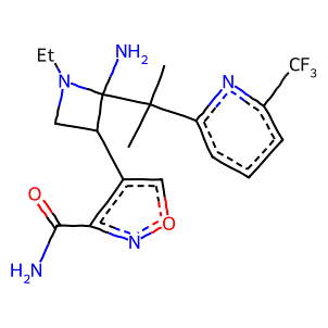 CCN1CC(c2conc2C(N)=O)C1(N)C(C)(C)c1cccc(C(F)(F)F)n1